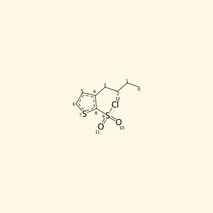 CCCCc1ccsc1S(=O)(=O)Cl